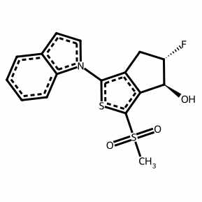 CS(=O)(=O)c1sc(-n2ccc3ccccc32)c2c1[C@H](O)[C@@H](F)C2